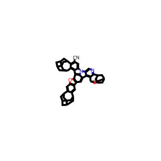 N#Cc1cc2c(c3c1C1CC4CC5CC3CC45C1)c1c3oc4cc5c(cc4c3cc3c4c6c(ncc4n2c31)C1CC2CC(C1)CC6C2)C1CC2CC3CC5CC32C1